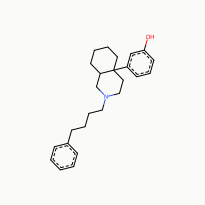 Oc1cccc(C23CCCCC2CN(CCCCc2ccccc2)CC3)c1